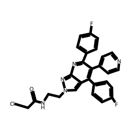 O=C(CCl)NCCn1cc2c(-c3ccc(F)cc3)c(-c3ccncc3)c(-c3ccc(F)cc3)nc2n1